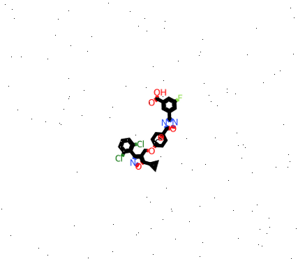 O=C(O)c1cc(F)cc(-c2noc(C34CCC(OCc5c(-c6c(Cl)cccc6Cl)noc5C5CC5)(CC3)CO4)n2)c1